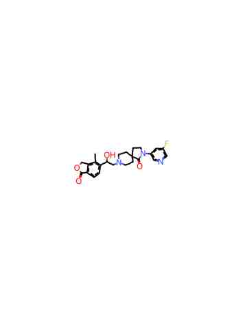 Cc1c(C(O)CN2CCC3(CC2)CCN(c2cncc(F)c2)C3=O)ccc2c1COC2=O